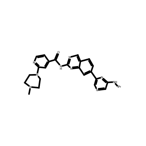 CC(C)Nc1cncc(-c2ccc3cnc(NC(=O)c4ccnc(N5CCN(C)CC5)c4)nc3c2)n1